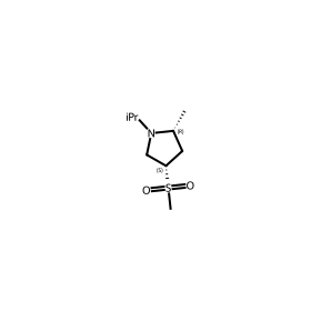 CC(C)N1C[C@@H](S(C)(=O)=O)C[C@H]1C